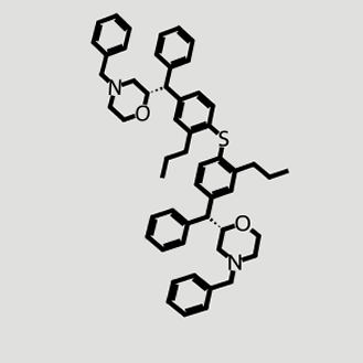 CCCc1cc(C(c2ccccc2)[C@H]2CN(Cc3ccccc3)CCO2)ccc1Sc1ccc(C(c2ccccc2)[C@H]2CN(Cc3ccccc3)CCO2)cc1CCC